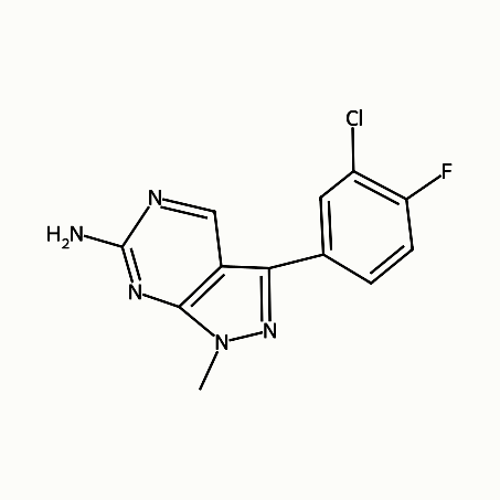 Cn1nc(-c2ccc(F)c(Cl)c2)c2cnc(N)nc21